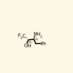 CC(C)C[C@H](N)[C@H](O)C(F)(F)F